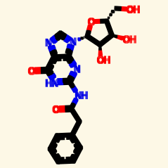 O=C(Cc1ccccc1)Nc1nc2c(ncn2[C@@H]2O[C@H](CO)[C@@H](O)[C@H]2O)c(=O)[nH]1